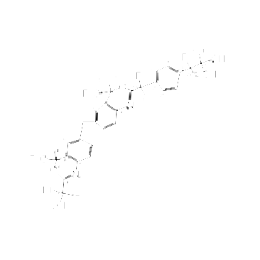 CCC(C)(CC)C1=Nc2ccc(Cc3ccc4c(c3)C(C(F)(F)F)(C(F)(F)F)OC(C(F)(F)c3ccc(C(F)(F)C(C)(C)CC)cc3)=N4)cc2C(C(F)(F)F)(C(F)(F)F)O1